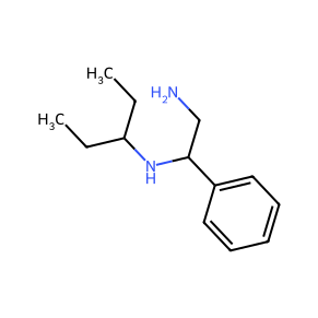 CCC(CC)NC(CN)c1ccccc1